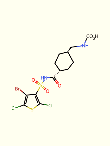 O=C(O)NC[C@H]1CC[C@H](C(=O)NS(=O)(=O)c2c(Cl)sc(Cl)c2Br)CC1